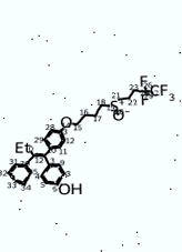 CC/C(=C(/c1ccc(O)cc1)c1ccc(OCCCC[S+]([O-])CCCC(F)(F)C(F)(F)F)cc1)c1ccccc1